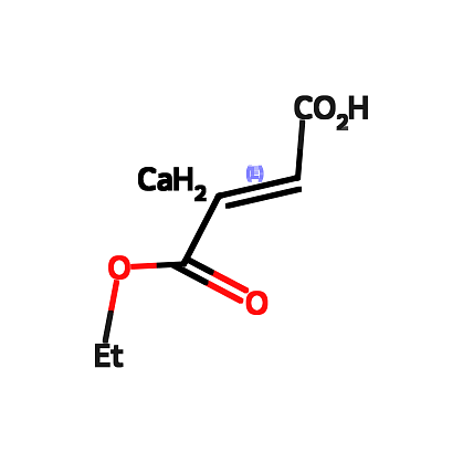 CCOC(=O)/C=C/C(=O)O.[CaH2]